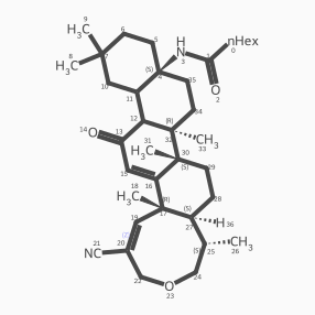 CCCCCCC(=O)N[C@]12CCC(C)(C)CC1C1C(=O)C=C3[C@@]4(C)/C=C(/C#N)COC[C@@H](C)[C@@H]4CC[C@@]3(C)[C@]1(C)CC2